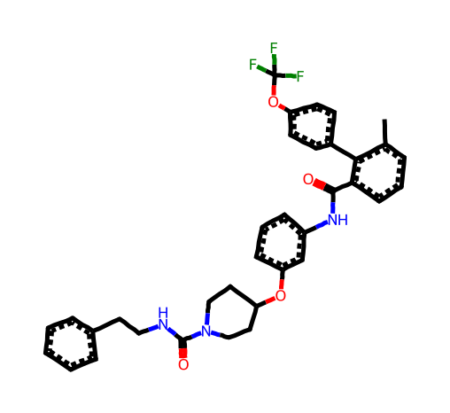 Cc1cccc(C(=O)Nc2cccc(OC3CCN(C(=O)NCCc4ccccc4)CC3)c2)c1-c1ccc(OC(F)(F)F)cc1